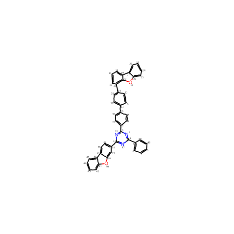 c1ccc(-c2nc(-c3ccc(-c4ccc(-c5cccc6c5oc5ccccc56)cc4)cc3)nc(-c3ccc4c(c3)oc3ccccc34)n2)cc1